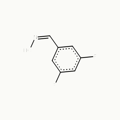 O/N=C\c1[c]c(F)cc(F)c1